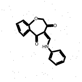 O=C1COc2ccccc2C(=O)C1=CNc1ccccc1